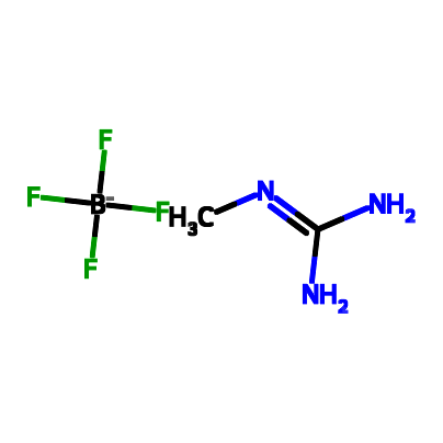 CN=C(N)N.F[B-](F)(F)F